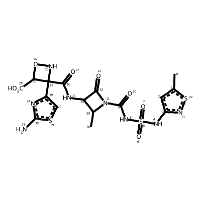 Cc1cc(NS(=O)(=O)NC(=O)N2C(=O)C(NC(=O)C3(c4csc(N)n4)NOC3C(=O)O)C2C)ns1